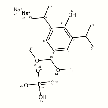 CC(C)c1cccc(C(C)C)c1O.COCOC.O=P([O-])([O-])O.[Na+].[Na+]